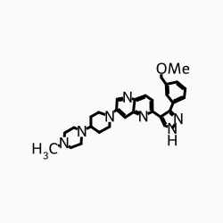 COCc1cccc(-c2n[nH]cc2-c2ccc3ncc(N4CCC(N5CCN(C)CC5)CC4)cc3n2)c1